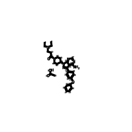 CC(=O)O.CCN(CC)CCC(=O)N1CCC(n2nc(-c3ccc(Oc4ccccc4)cc3)c3c(N)ncnc32)CC1